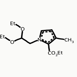 CCOC(=O)c1c(C)ccn1CC(OCC)OCC